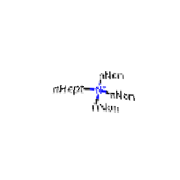 CCCCCCCCC[N+](CCCCCCC)(CCCCCCCCC)CCCCCCCCC